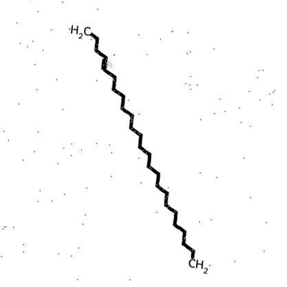 [CH2]CC/C=C/CCCCCCCCCCCCCCCCCCC[CH2]